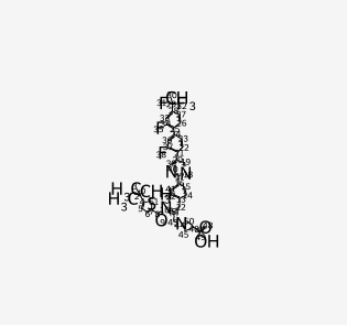 CC(C)(C)c1ccc(C(=O)N[C@@H](Cc2ccc(-c3ncc(-c4ccc(-c5ccc(C(C)(F)F)cc5F)cc4F)cn3)cc2)CN2CC(C(=O)O)C2)s1